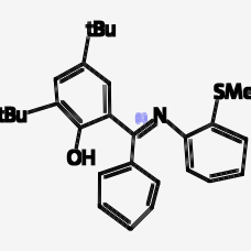 CSc1ccccc1/N=C(\c1ccccc1)c1cc(C(C)(C)C)cc(C(C)(C)C)c1O